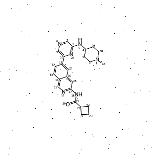 CN1CCC(Nc2cncc(-c3ccc4cnc(NC(=O)C5CCC5)cc4c3)n2)CC1